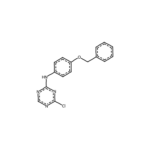 Clc1ncnc(Nc2ccc(OCc3ccccc3)cc2)n1